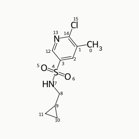 Cc1cc(S(=O)(=O)NCC2CC2)cnc1Cl